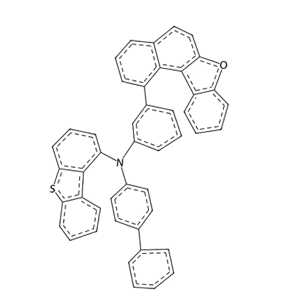 c1ccc(-c2ccc(N(c3cccc(-c4cccc5ccc6oc7ccccc7c6c45)c3)c3cccc4sc5ccccc5c34)cc2)cc1